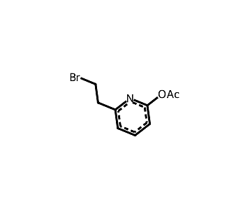 CC(=O)Oc1cccc(CCBr)n1